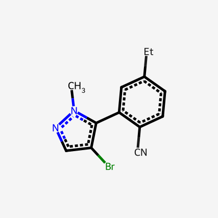 CCc1ccc(C#N)c(-c2c(Br)cnn2C)c1